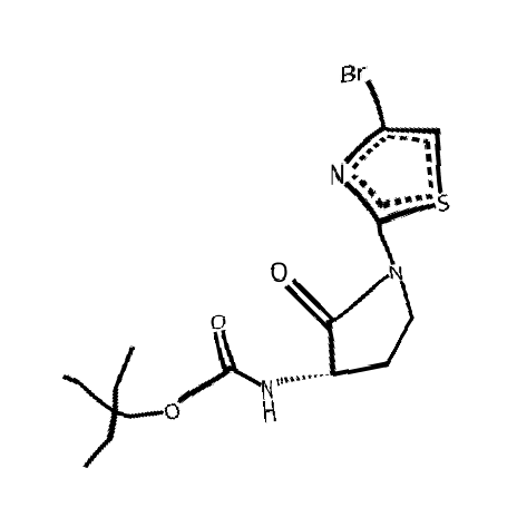 CC(C)(C)OC(=O)N[C@H]1CCN(c2nc(Br)cs2)C1=O